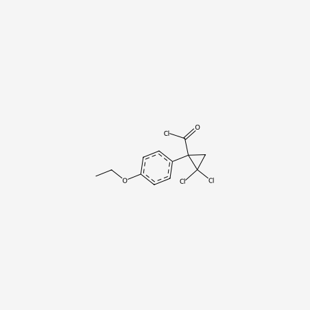 CCOc1ccc(C2(C(=O)Cl)CC2(Cl)Cl)cc1